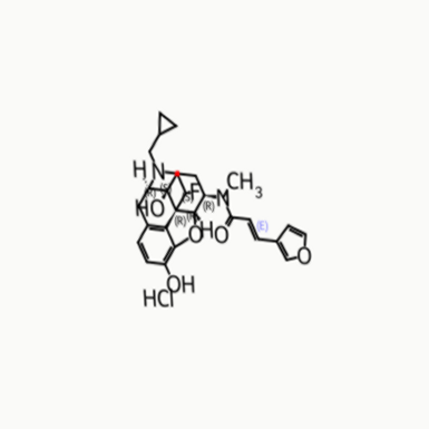 CN(C(=O)/C=C/c1ccoc1)[C@@H]1CC[C@@]2(O)[C@H]3Cc4ccc(O)c5c4[C@@]2([C@H](F)CN3CC2CC2)[C@H]1O5.Cl